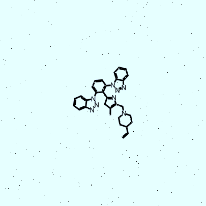 C=CC1CCN(CC2=C(C)CC(c3c(-n4nnc5ccccc54)cccc3-n3nnc4ccccc43)=N2)CC1